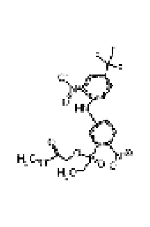 CCP(=O)(OCC(=O)OC)c1cc(Nc2ccc(C(F)(F)F)cc2[N+](=O)[O-])ccc1[N+](=O)[O-]